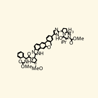 COC[C@H]1CC(c2nc3ccc4cc5c(cc4c3[nH]2)OCc2cc(-c3cnc([C@@H]4CC[C@H](C)N4C(=O)[C@@H](NC(=O)OC)C(C)C)[nH]3)ccc2-5)N(C(=O)[C@H](NC(=O)OC)c2ccccc2)C1